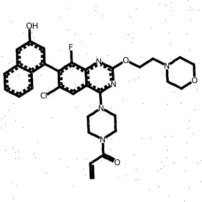 C=CC(=O)N1CCN(c2nc(OCCN3CCOCC3)nc3c(F)c(-c4cc(O)cc5ccccc45)c(Cl)cc23)CC1